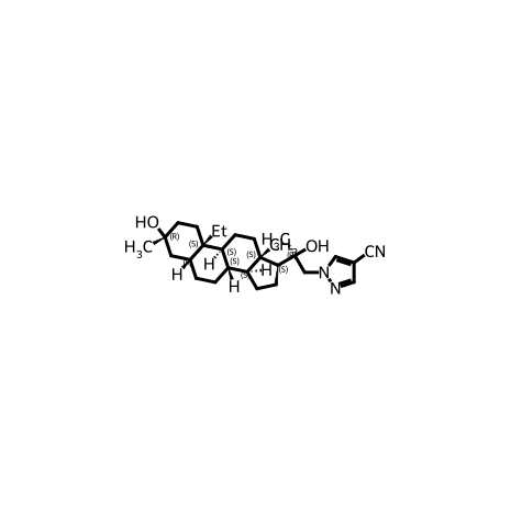 CC[C@]12CC[C@@](C)(O)C[C@H]1CC[C@H]1[C@@H]3CC[C@H]([C@@](C)(O)Cn4cc(C#N)cn4)[C@@]3(C)CC[C@@H]12